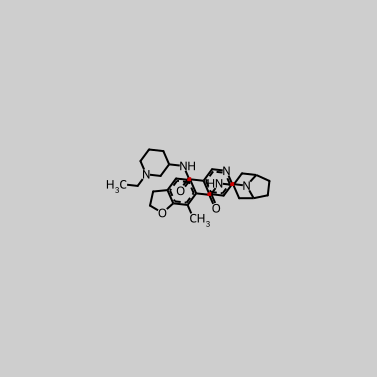 CCN1CCCC(NC(=O)c2ccc(N3C4CCC3CC(NC(=O)c3ccc5c(c3C)OCC5)C4)nc2)C1